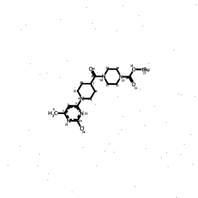 Cc1cc(N2CCC(C(=O)N3CCN(C(=O)OC(C)(C)C)CC3)CC2)nc(Cl)n1